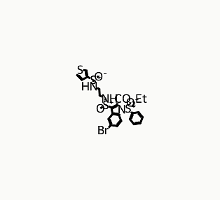 CCOC(=O)c1c([S+]([O-])NCCN[S+]([O-])c2ccsc2)c2cc(Br)ccc2n1[S+]([O-])c1ccccc1